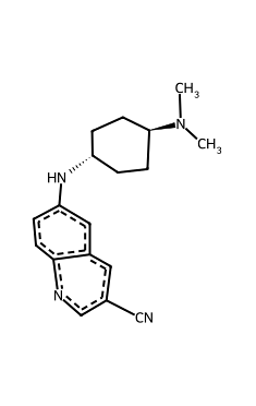 CN(C)[C@H]1CC[C@H](Nc2ccc3ncc(C#N)cc3c2)CC1